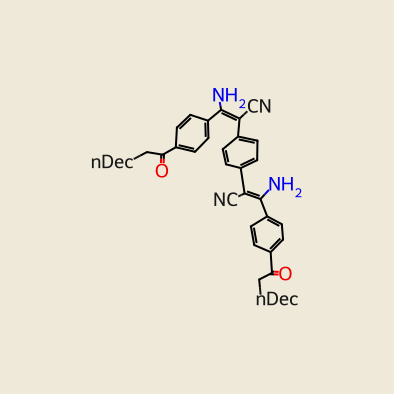 CCCCCCCCCCCC(=O)c1ccc(C(N)=C(C#N)c2ccc(C(C#N)=C(N)c3ccc(C(=O)CCCCCCCCCCC)cc3)cc2)cc1